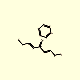 CCC=CC(=O)C=CCC.c1ccccc1